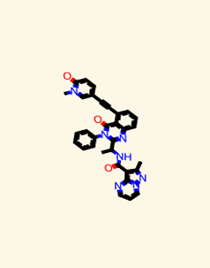 Cc1nn2cccnc2c1C(=O)NC(C)c1nc2cccc(C#Cc3ccc(=O)n(C)c3)c2c(=O)n1-c1ccccc1